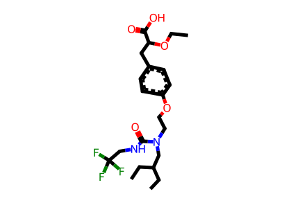 CCOC(Cc1ccc(OCCN(CC(CC)CC)C(=O)NCC(F)(F)F)cc1)C(=O)O